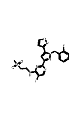 CS(=O)(=O)CCNc1nc(-c2cc(-c3ccon3)n(Cc3ccccc3F)n2)ncc1F